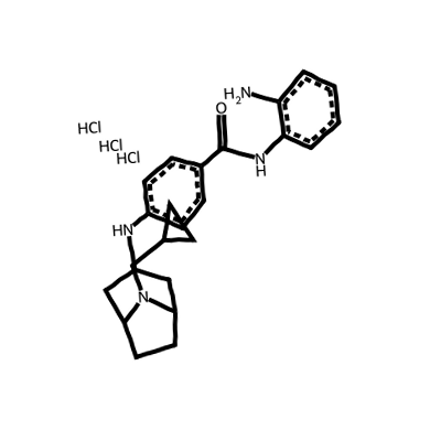 Cl.Cl.Cl.Nc1ccccc1NC(=O)c1ccc(NC2CC3CCC(C2)N3CC2CC2)cc1